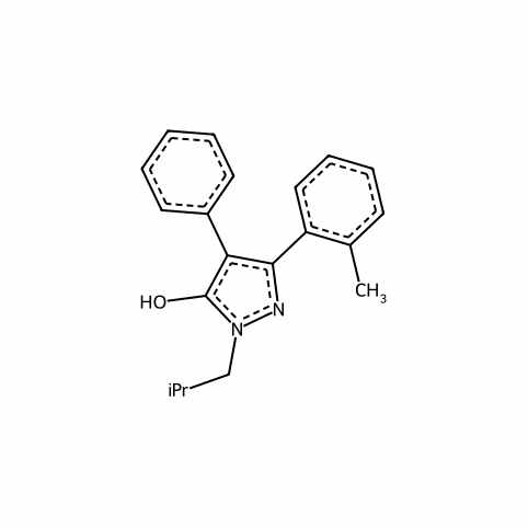 Cc1ccccc1-c1nn(CC(C)C)c(O)c1-c1ccccc1